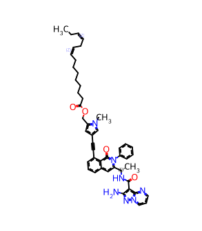 CC/C=C\C/C=C\CCCCCCCC(=O)OCc1cc(C#Cc2cccc3cc([C@H](C)NC(=O)c4c(N)nn5cccnc45)n(-c4ccccc4)c(=O)c23)cn1C